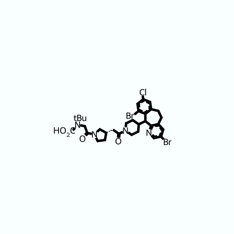 CC(C)(C)N(CC(=O)N1CC[C@@H](CC(=O)N2CCC(C3c4ncc(Br)cc4CCc4cc(Cl)cc(Br)c43)CC2)C1)C(=O)O